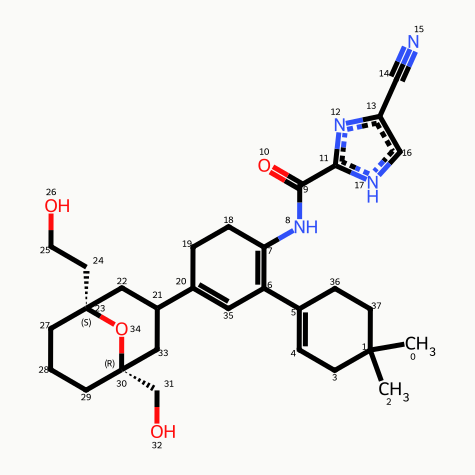 CC1(C)CC=C(C2=C(NC(=O)c3nc(C#N)c[nH]3)CCC(C3C[C@]4(CCO)CCC[C@](CO)(C3)O4)=C2)CC1